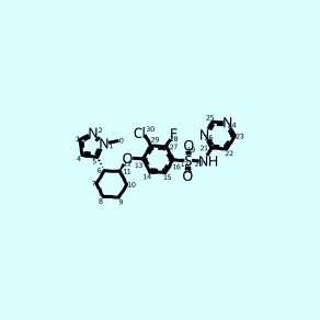 Cn1nccc1[C@H]1CCCC[C@@H]1Oc1ccc(S(=O)(=O)Nc2ccncn2)c(F)c1Cl